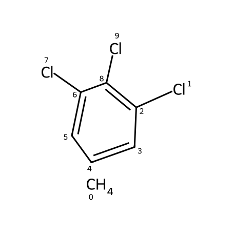 C.Clc1cccc(Cl)c1Cl